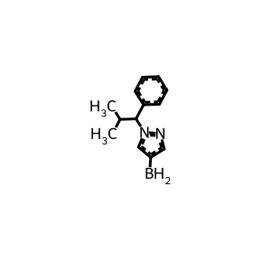 Bc1cnn(C(c2ccccc2)C(C)C)c1